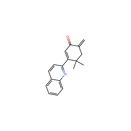 C=C1CC(C)(C)C(c2ccc3ccccc3n2)=CC1=O